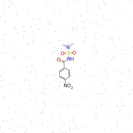 CN(C)S(=O)(=O)NC(=O)c1ccc([N+](=O)[O-])cc1